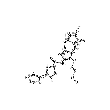 CCOCCCn1c(NC(=O)c2ccc(-c3cn[nH]c3)s2)nc2cc3[nH]c(=O)[nH]c3cc21